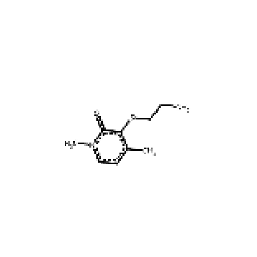 Cc1ccn(C)c(=O)c1SCCN